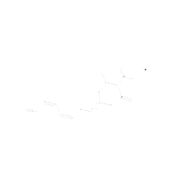 C=C1C/C(=C/C/C=C\C=C/N=N)CC(C)N1C(=O)OC(C)(C)C